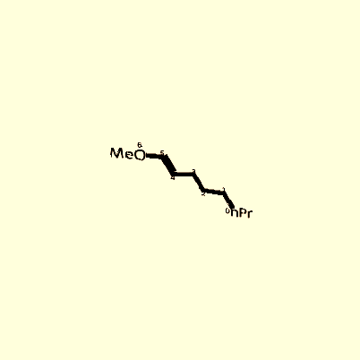 [CH2]CCCCC/C=C/OC